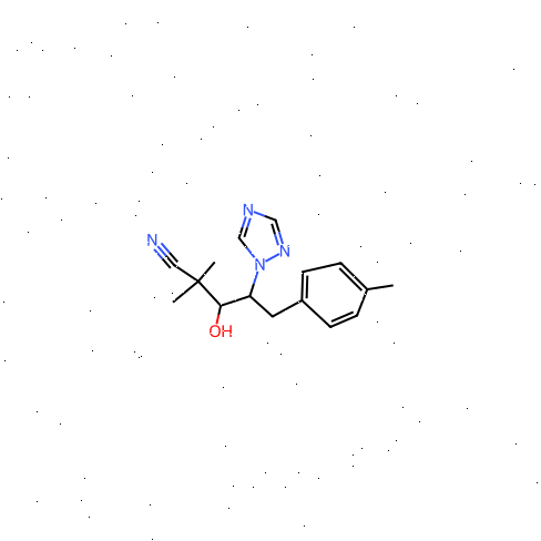 Cc1ccc(CC(C(O)C(C)(C)C#N)n2cncn2)cc1